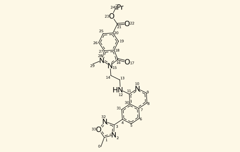 Cc1nc(-c2ccc3ccnc(NCCn4c(=O)c5cc(C(=O)OC(C)C)ccc5n4C)c3c2)no1